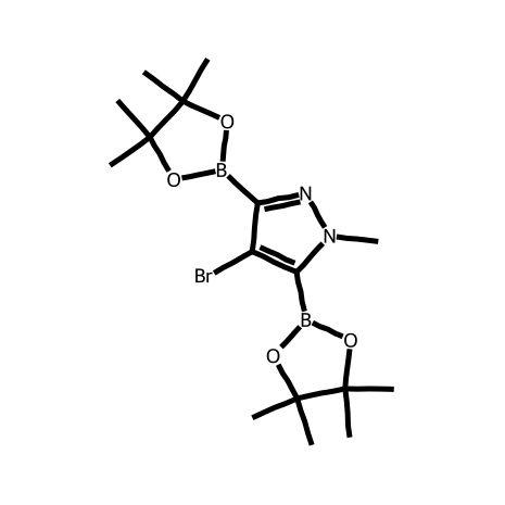 Cn1nc(B2OC(C)(C)C(C)(C)O2)c(Br)c1B1OC(C)(C)C(C)(C)O1